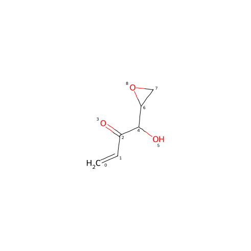 C=CC(=O)C(O)C1CO1